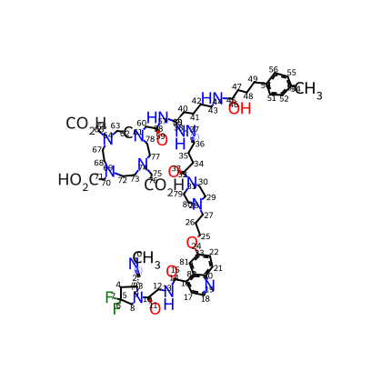 C/N=C/[C@H]1CC(F)(F)CN1C(=O)CNC(=O)c1ccnc2ccc(OCCCN3CCN(C(=O)CC/C=N\N[C@H](CCCCNC(O)CCCc4ccc(C)cc4)NC(=O)CN4CCN(CC(=O)O)CCN(CC(=O)O)CCN(CC(=O)O)CC4)CC3)cc12